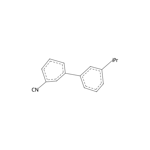 [C-]#[N+]c1cccc(-c2cccc(C(C)C)c2)c1